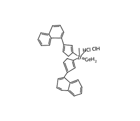 Cl.Cl.[CH3][Zr]([CH3])(=[GeH2])([C]1=CC(c2cccc3ccccc23)=CC1)[C]1=CC(c2cccc3ccccc23)=CC1